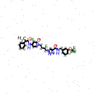 CC(C(=O)Nc1ccn(CCC(F)Cn2cc(C(=O)NCc3cccc(OC(F)(F)F)c3)nn2)c(=O)c1F)c1ccccc1